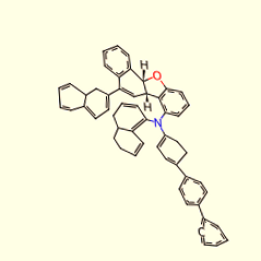 C1=CC2=CC=C(C3=C[C@H]4c5c(cccc5N(C5=CC=C(c6ccc(-c7ccccc7)cc6)CC5)C5=C6C=CCCC6CC=C5)O[C@H]4c4ccccc43)CC2C=C1